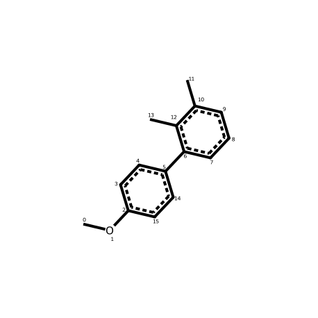 COc1ccc(-c2cccc(C)c2C)cc1